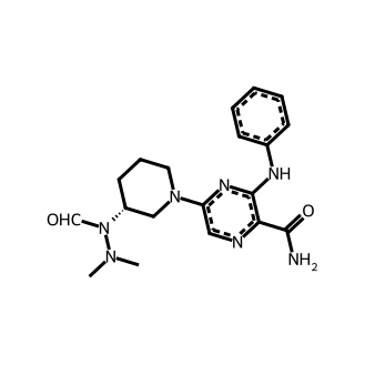 CN(C)N(C=O)[C@@H]1CCCN(c2cnc(C(N)=O)c(Nc3ccccc3)n2)C1